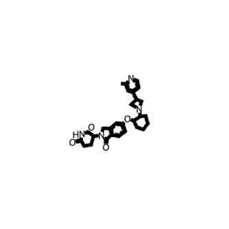 Cc1cc(C2CN(C3CCCCC3Oc3ccc4c(c3)CN(C3CCC(=O)NC3=O)C4=O)C2)ccn1